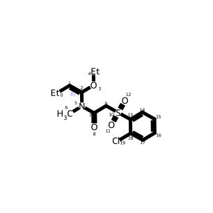 CC/C=C(/OCC)N(C)C(=O)CS(=O)(=O)c1ccccc1Cl